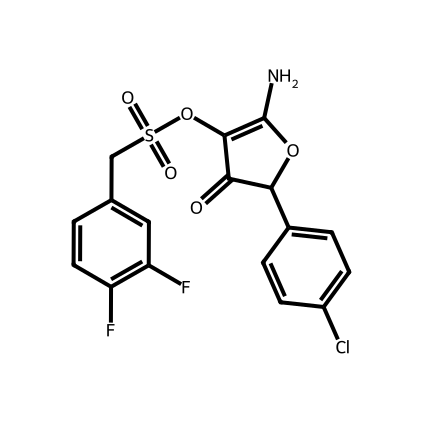 NC1=C(OS(=O)(=O)Cc2ccc(F)c(F)c2)C(=O)C(c2ccc(Cl)cc2)O1